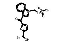 CC[C@@H](O)c1csc(C(=O)c2cn(COP(=O)(O)O)c3ccccc23)n1